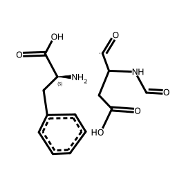 N[C@@H](Cc1ccccc1)C(=O)O.O=[C]C(CC(=O)O)NC=O